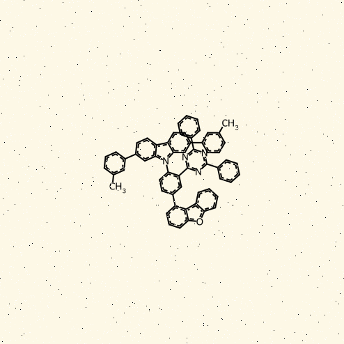 Cc1cccc(-c2ccc3c4ccc(-c5cccc(C)c5)cc4n(-c4ccc(-c5cccc6oc7ccccc7c56)cc4-c4nc(-c5ccccc5)nc(-c5ccccc5)n4)c3c2)c1